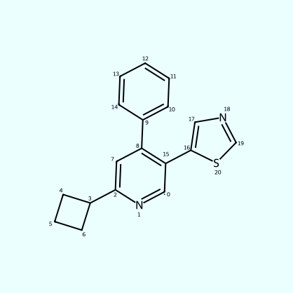 [c]1nc(C2CCC2)cc(-c2ccccc2)c1-c1cncs1